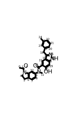 CC(=O)N1CCc2ccc(N(C)C(=O)c3cc4c(Cc5cccc(C)c5)n[nH]c4cc3O)cc21